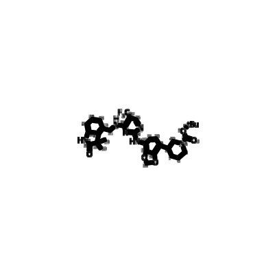 CC(C)(C)OC(=O)N1CCCC(c2ccc(Nc3ncc(C(F)(F)F)c(NCc4cccc5c4C(C)(C)C(=O)N5)n3)c3c2OCO3)C1